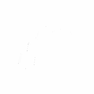 COCC/C=C(\NC(=O)c1ccccc1)C(=O)O